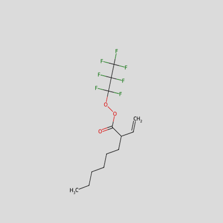 C=CC(CCCCCC)C(=O)OOC(F)(F)C(F)(F)C(F)(F)F